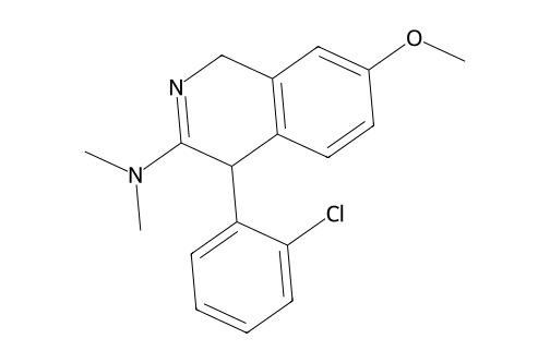 COc1ccc2c(c1)CN=C(N(C)C)C2c1ccccc1Cl